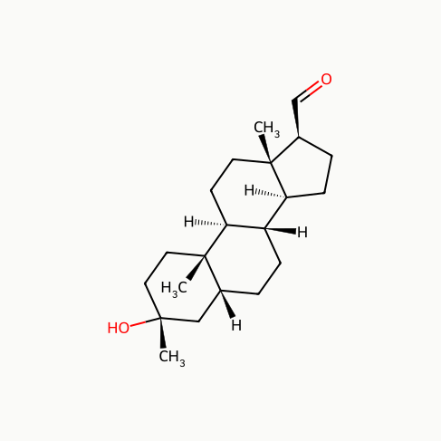 C[C@@]1(O)CC[C@@]2(C)[C@H](CC[C@@H]3[C@@H]2CC[C@]2(C)[C@@H](C=O)CC[C@@H]32)C1